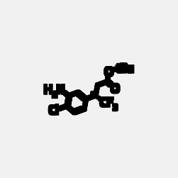 CC(C)(C)OC(=O)C[C@@H](c1ccc(Cl)c(N)c1)C(F)(F)F